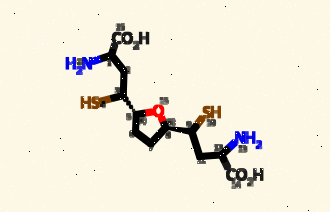 NC(CC(S)[C@H]1CC[C@H](C(S)CC(N)C(=O)O)O1)C(=O)O